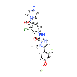 Cn1c(-c2ccc(OCF)cc2F)cnc1C(=O)Nc1ccc(C(=O)N2CCNCC2)c(Cl)c1